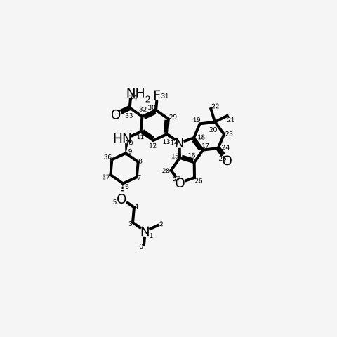 CN(C)CCO[C@H]1CC[C@H](Nc2cc(-n3c4c(c5c3CC(C)(C)CC5=O)COC4)cc(F)c2C(N)=O)CC1